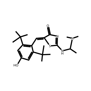 CC(NC1=NC(=O)C(=Cc2c(C(C)(C)C)cc(O)cc2C(C)(C)C)S1)N(C)C